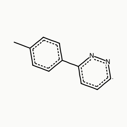 Cc1ccc(-c2cc[c]nn2)cc1